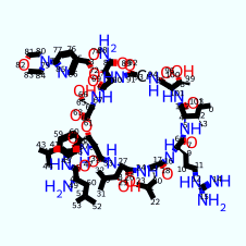 CC[C@H](C)[C@@H]1NC(=O)[C@@H](CCCNC(=N)N)NC(=O)[C@H](CC(C)C)NC(=O)[C@H]([C@H](O)C(C)C)NC(=O)[C@@H](NC(=O)[C@H](CC(C)C)NC(=O)[C@H](N)CC(C)C)[C@@H](c2ccccc2)OC(=O)[C@H](CO)NC(=O)[C@H]([C@H](OC(=O)c2ccc(N3CCOCC3)nc2)C(N)=O)NC(=O)CNC(=O)[C@H]([C@H](C)O)NC1=O